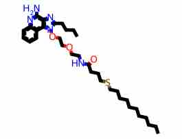 CCCCCCCCCCCSCCCC(=O)NCCOCCOn1c(CCCC)nc2c(N)nc3ccccc3c21